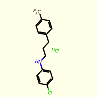 Cl.FC(F)(F)c1ccc(CCCNc2ccc(Cl)cc2)cc1